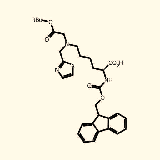 CC(C)(C)OC(=O)CN(CCCC[C@H](NC(=O)OCC1c2ccccc2-c2ccccc21)C(=O)O)Cc1nccs1